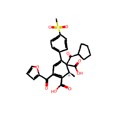 C[C@H]1C(C(=O)O)=C(C(=O)c2ccco2)C=C(c2ccc(S(C)(=O)=O)cc2)C1(C(=O)O)C(=O)C1CCCC1